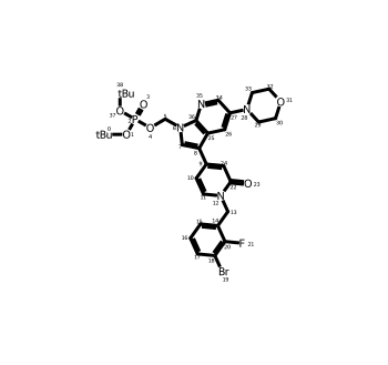 CC(C)(C)OP(=O)(OCn1cc(-c2ccn(Cc3cccc(Br)c3F)c(=O)c2)c2cc(N3CCOCC3)cnc21)OC(C)(C)C